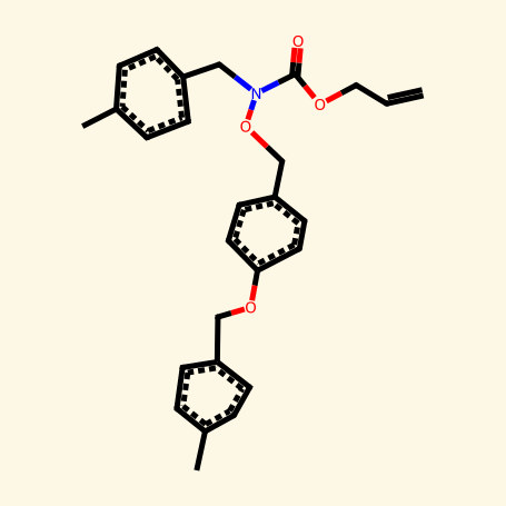 C=CCOC(=O)N(Cc1ccc(C)cc1)OCc1ccc(OCc2ccc(C)cc2)cc1